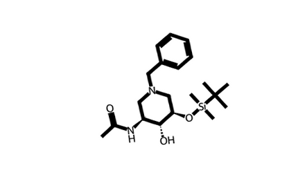 CC(=O)N[C@H]1CN(Cc2ccccc2)C[C@@H](O[Si](C)(C)C(C)(C)C)[C@@H]1O